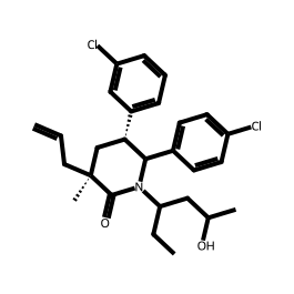 C=CC[C@@]1(C)C[C@H](c2cccc(Cl)c2)C(c2ccc(Cl)cc2)N(C(CC)CC(C)O)C1=O